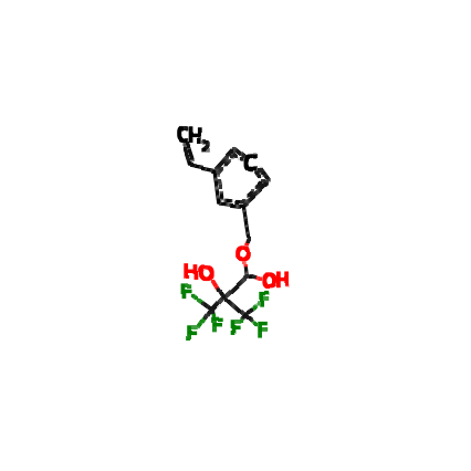 C=Cc1cccc(COC(O)C(O)(C(F)(F)F)C(F)(F)F)c1